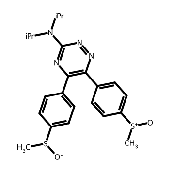 CC(C)N(c1nnc(-c2ccc([S+](C)[O-])cc2)c(-c2ccc([S+](C)[O-])cc2)n1)C(C)C